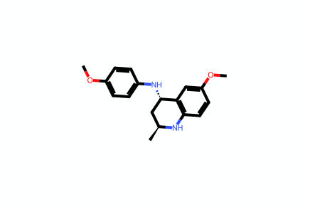 COc1ccc(N[C@H]2C[C@H](C)Nc3ccc(OC)cc32)cc1